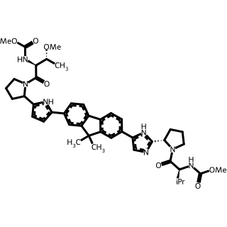 COC(=O)N[C@H](C(=O)N1CCC[C@H]1c1ncc(-c2ccc3c(c2)C(C)(C)c2cc(-c4ccc(C5CCCN5C(=O)[C@@H](NC(=O)OC)[C@@H](C)OC)[nH]4)ccc2-3)[nH]1)C(C)C